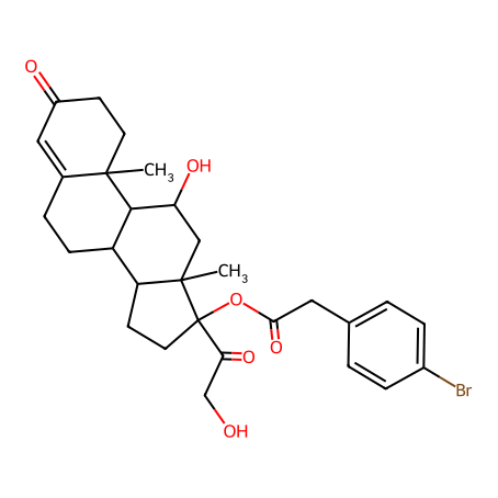 CC12CCC(=O)C=C1CCC1C2C(O)CC2(C)C1CCC2(OC(=O)Cc1ccc(Br)cc1)C(=O)CO